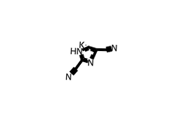 N#Cc1c[nH]c(C#N)n1.[K]